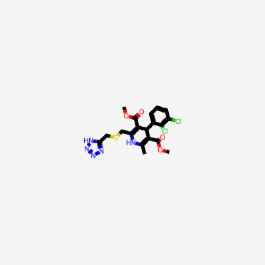 COC(=O)C1=C(C)NC(CSCc2nnn[nH]2)=C(C(=O)OC)C1c1cccc(Cl)c1Cl